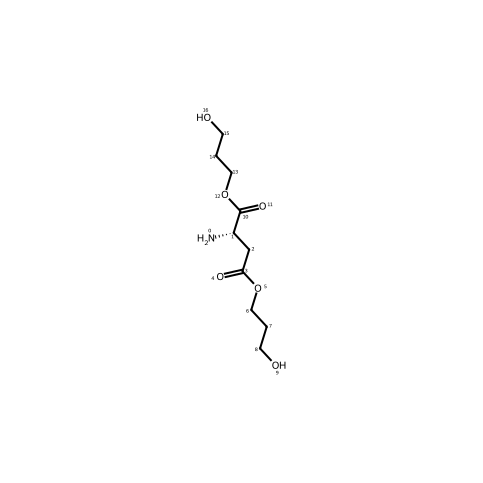 N[C@@H](CC(=O)OCCCO)C(=O)OCCCO